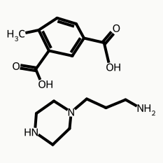 Cc1ccc(C(=O)O)cc1C(=O)O.NCCCN1CCNCC1